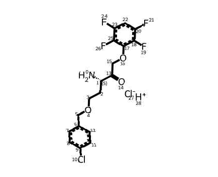 N[C@@H](CCOCc1ccc(Cl)cc1)C(=O)COc1c(F)c(F)cc(F)c1F.[Cl-].[H+]